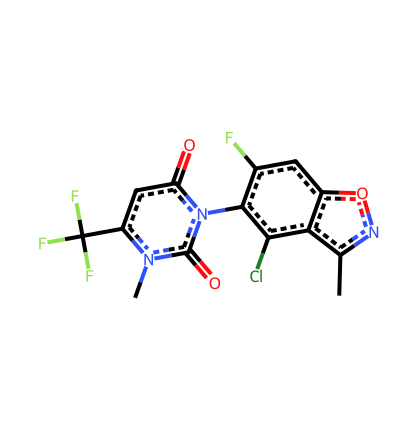 Cc1noc2cc(F)c(-n3c(=O)cc(C(F)(F)F)n(C)c3=O)c(Cl)c12